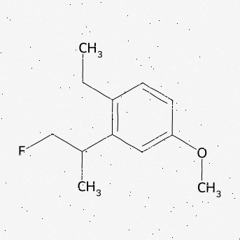 CCc1ccc(OC)cc1[C](C)CF